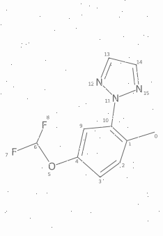 Cc1ccc(OC(F)F)cc1-n1nccn1